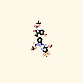 CCOc1cc(S(C)(=O)=O)cnc1Nc1nn(C(=O)OC(C)(C)C)c2cc([C@@H]3C[C@@]34C(=O)N(C(=O)OC(C)(C)C)c3ccc(OC)cc34)ccc12